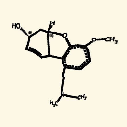 COc1ccc(CN(C)C)c2c1O[C@H]1C[C@@H](O)C=CC21